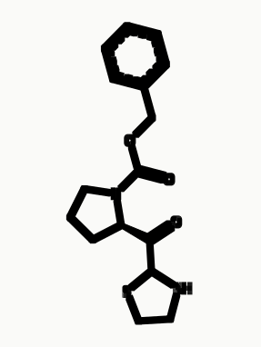 O=C(C1NCCS1)[C@H]1CCCN1C(=O)OCc1ccccc1